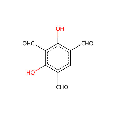 O=Cc1cc(C=O)c(O)c(C=O)c1O